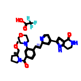 COC[C@@H]1CCCN1C(=O)c1ccc(/C=C/c2cc(-c3cc4c([nH]3)CCNC4=O)ccn2)c(N2CCOCC2)c1.O=C(O)C(F)(F)F